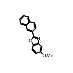 COc1ccc2oc(-c3ccc4ccccc4c3)nc2c1